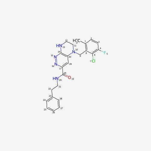 Cc1ccc(F)c(Cl)c1CN1CCNc2nnc(C(=O)NCCc3ccccc3)cc21